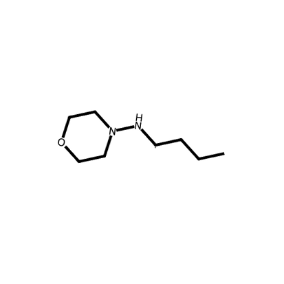 CCC[CH]NN1CCOCC1